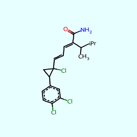 CC(C)C(C)/C(=C\C=C\C1(Cl)CC1c1ccc(Cl)c(Cl)c1)C(N)=O